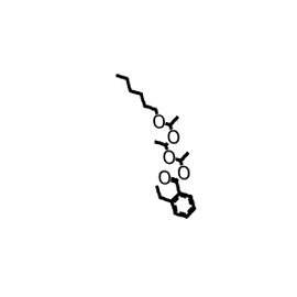 CCCCCCOC(C)OC(C)OC(C)OC(=O)c1ccccc1CC